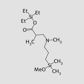 CC[Si](CC)(CC)OC(=O)C(C)CN(C)CCC[Si](C)(C)OC